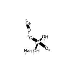 O=S(=O)(O)O.[NaH].[O]=[Ce]